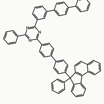 c1ccc(-c2ccc(-c3cccc(-c4nc(-c5ccccc5)nc(-c5ccc(-c6ccc(C7(c8ccccc8)c8ccccc8-c8c7ccc7ccccc87)cc6)cc5)n4)c3)cc2)cc1